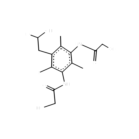 O=C(CO)Nc1c(I)c(CC(O)O)c(I)c(NC(=O)CO)c1I